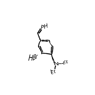 Br.CCN(CC)c1ccc(C=P)cc1